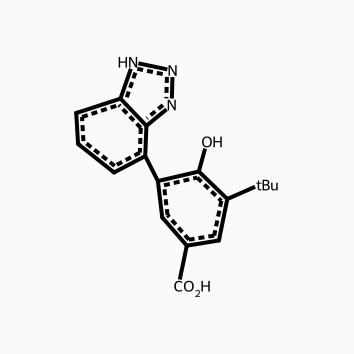 CC(C)(C)c1cc(C(=O)O)cc(-c2cccc3[nH]nnc23)c1O